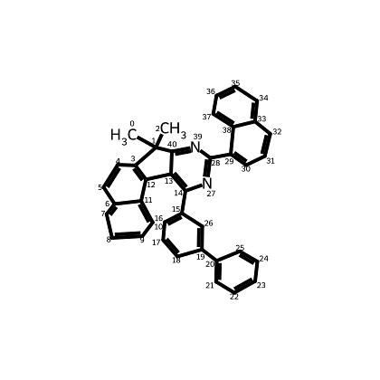 CC1(C)c2ccc3ccccc3c2-c2c(-c3cccc(-c4ccccc4)c3)nc(-c3cccc4ccccc34)nc21